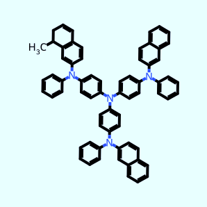 CC1CC=Cc2ccc(N(c3ccccc3)c3ccc(N(c4ccc(N(c5ccccc5)c5ccc6ccccc6c5)cc4)c4ccc(N(c5ccccc5)c5ccc6ccccc6c5)cc4)cc3)cc21